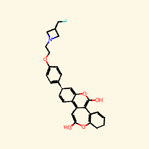 OC1=CC2=C3C=C[C@@H](c4ccc(OCCN5CC(CF)C5)cc4)C=C3OC(O)=C2C2=C(CCC=C2)O1